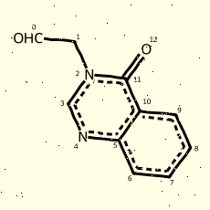 O=[C]Cn1cnc2ccccc2c1=O